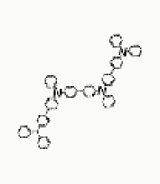 C1=CCCC(N(c2ccc(-c3ccc(N(c4ccccc4)c4ccccc4)cc3)cc2)c2ccc(-c3ccc(N(c4ccccc4)c4ccc(-c5ccc(C(c6ccccc6)c6ccccc6)cc5)cc4)cc3)cc2)=C1